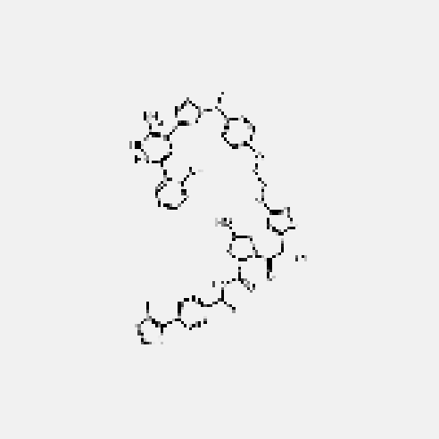 Cc1ncsc1-c1ccc([C@H](C)NC(=O)[C@@H]2C[C@@H](O)CN2C(=O)[C@H](c2cc(OCCOc3ccc(C(C)n4cc(C5=C(N)NNC(c6ccccc6O)=C5)cn4)cc3)no2)C(C)C)cc1